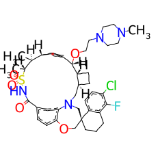 C[C@@H]1[C@@H](C)S(=O)(=O)NC(=O)c2ccc3c(c2)N(C[C@@H]2CC[C@H]2[C@@H](OCCN2CCN(C)CC2)C2=C[C@H]1C2)C[C@@]1(CCCc2c1ccc(Cl)c2F)CO3